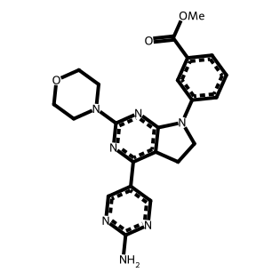 COC(=O)c1cccc(N2CCc3c(-c4cnc(N)nc4)nc(N4CCOCC4)nc32)c1